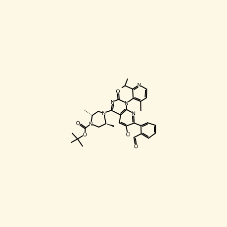 Cc1ccnc(C(C)C)c1-n1c(=O)nc(N2C[C@@H](C)N(C(=O)OC(C)(C)C)C[C@@H]2C)c2cc(Cl)c(-c3ccccc3C=O)nc21